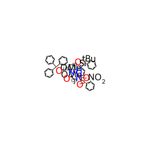 COC(OC)(OC(c1ccccc1)(c1ccccc1)c1ccccc1)[C@@H]1C[C@H](O[Si](c2ccccc2)(c2ccccc2)C(C)(C)C)CN1C(=O)[C@H](C)NS(=O)(=O)c1ccccc1[N+](=O)[O-]